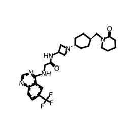 O=C(CNc1ncnc2ccc(C(F)(F)F)cc12)NC1CN([C@H]2CC[C@H](CN3CCCCC3=O)CC2)C1